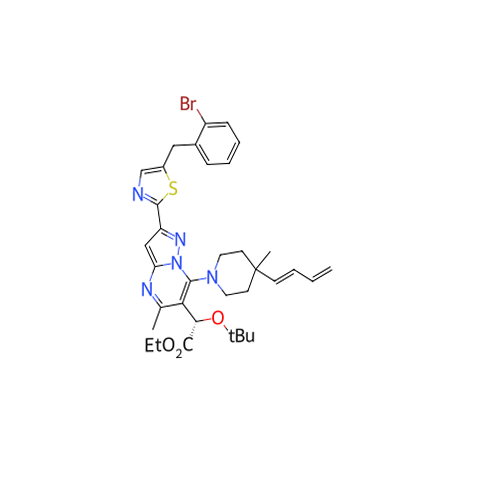 C=C/C=C/C1(C)CCN(c2c([C@H](OC(C)(C)C)C(=O)OCC)c(C)nc3cc(-c4ncc(Cc5ccccc5Br)s4)nn23)CC1